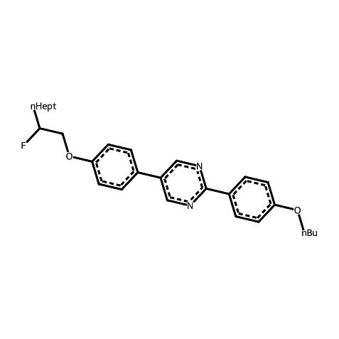 CCCCCCCC(F)COc1ccc(-c2cnc(-c3ccc(OCCCC)cc3)nc2)cc1